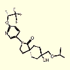 CC(C)OC[C@]1(O)CC[C@@]2(CCN(c3ccc(O[C@H](C)C(F)(F)F)nc3)C2=O)CC1